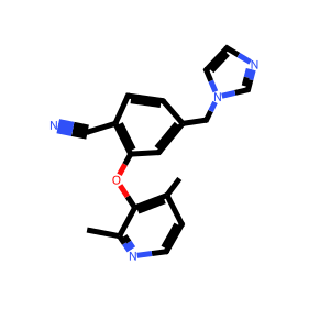 Cc1ccnc(C)c1Oc1cc(Cn2ccnc2)ccc1C#N